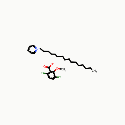 CCCCCCCCCCCCCCCC[n+]1ccccc1.COc1c(Cl)ccc(Cl)c1C(=O)[O-]